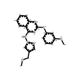 COCc1cnn(Nc2nc(Sc3cccc(OC)c3)nc3ccccc23)c1